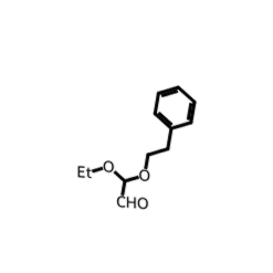 CCOC(C=O)OCCc1ccccc1